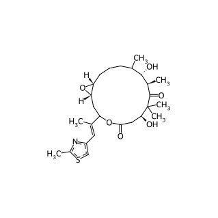 C/C(=C\c1csc(C)n1)C1C[C@@H]2O[C@@H]2CCCC(C)[C@H](O)[C@@H](C)C(=O)C(C)(C)[C@@H](O)CC(=O)O1